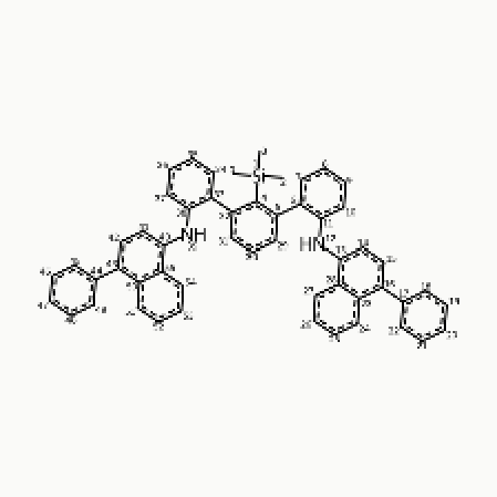 C[Si](C)(C)c1c(-c2ccccc2Nc2ccc(-c3ccccc3)c3ccccc23)cccc1-c1ccccc1Nc1ccc(-c2ccccc2)c2ccccc12